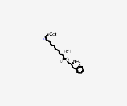 CCCCCCCC/C=C\CCCCCCCC(=O)OCC(N)Cc1ccccc1.Cl